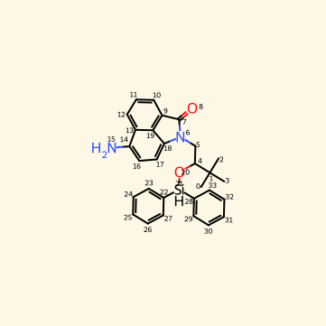 CC(C)(C)C(CN1C(=O)c2cccc3c(N)ccc1c23)O[SiH](c1ccccc1)c1ccccc1